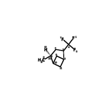 C[C@H]1CC(C(F)(F)F)C2CC1C2